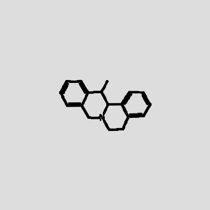 CC1c2ccccc2CN2CCc3ccccc3C12